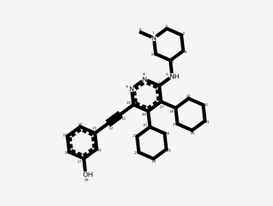 CN1CCCC(Nc2nnc(C#Cc3cccc(O)c3)c(C3CCCCC3)c2C2CCCCC2)C1